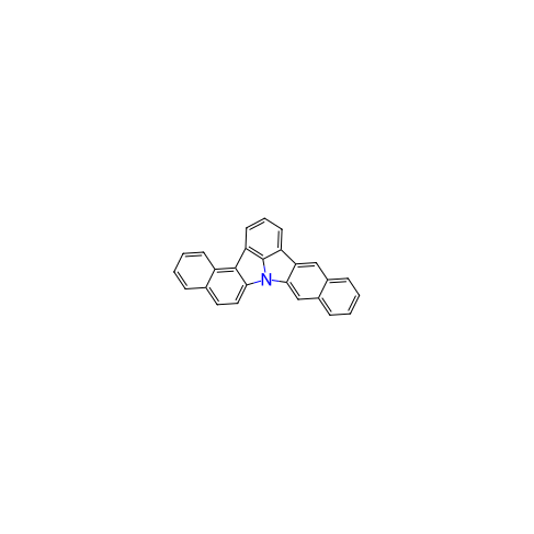 c1ccc2cc3c(cc2c1)c1cccc2c4c5ccccc5ccc4n3c12